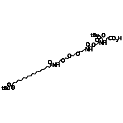 CC(C)(C)OC(=O)CCCCCCCCCCCCCCCCC(=O)NCCCOCCOCCOCCCNC(=O)COCC(=O)NC(CCC(=O)O)C(=O)OC(C)(C)C